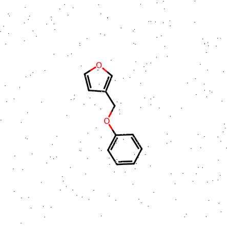 [c]1ccc(OCc2ccoc2)cc1